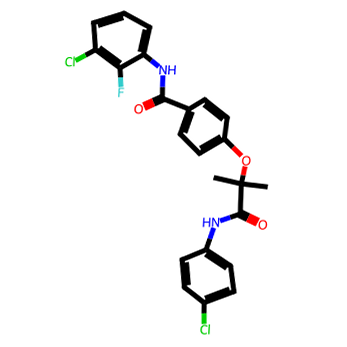 CC(C)(Oc1ccc(C(=O)Nc2cccc(Cl)c2F)cc1)C(=O)Nc1ccc(Cl)cc1